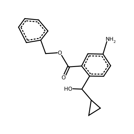 Nc1ccc(C(O)C2CC2)c(C(=O)OCc2ccccc2)c1